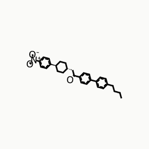 CCCCc1ccc(-c2ccc(C(=O)C[C@H]3CC[C@H](c4ccc([N+](=O)[O-])cc4)CC3)cc2)cc1